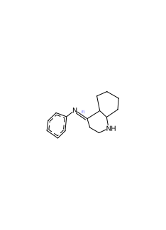 c1ccc(/N=C2\CCNC3CCCCC23)cc1